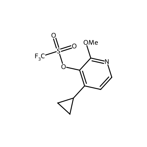 COc1nccc(C2CC2)c1OS(=O)(=O)C(F)(F)F